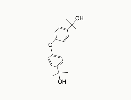 CC(C)(O)c1ccc(Oc2ccc(C(C)(C)O)cc2)cc1